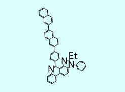 CCc1nc2c3c(-c4ccc(-c5ccc6cc(-c7ccc8ccccc8c7)ccc6c5)cc4)nc4ccccc4c3ccc2n1-c1ccccc1